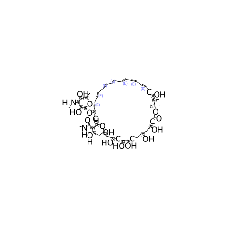 CNC(=O)[C@H]1[C@@H]2C[C@@H](O[C@@H]3O[C@H](C)[C@@H](O)[C@H](N)[C@H]3O)/C=C/C=C/C=C/C=C/C=C/C=C/C=C/C[C@@H](O)[C@@H](C)[C@H](C)OC(=O)C[C@H](O)C[C@H](O)CC[C@@H](O)[C@H](O)C[C@H](O)C[C@](O)(C[C@@H]1O)O2